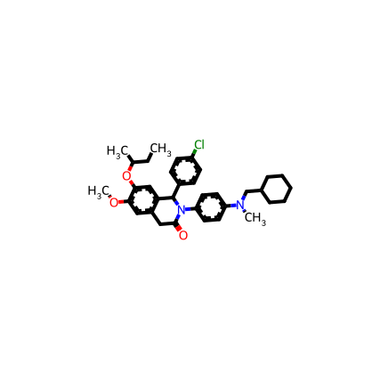 CCC(C)Oc1cc2c(cc1OC)CC(=O)N(c1ccc(N(C)CC3CCCCC3)cc1)C2c1ccc(Cl)cc1